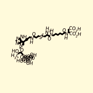 CC(O)C(COP(=O)(O)OP(=O)(O)OP(=O)(O)O)OCn1cc(C#CCNC(=O)CCSSCC(N)C(=O)NCCCCCC(=O)NC(CC(=O)O)C(=O)O)c2c(N)ncnc21